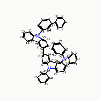 c1ccc(-c2cccc(-n3c4ccccc4c4cc(-c5ccc6c(c5)c5c(ccc7c8ccccc8n(-c8ccccc8)c75)n6-c5ccccc5)ccc43)c2)cc1